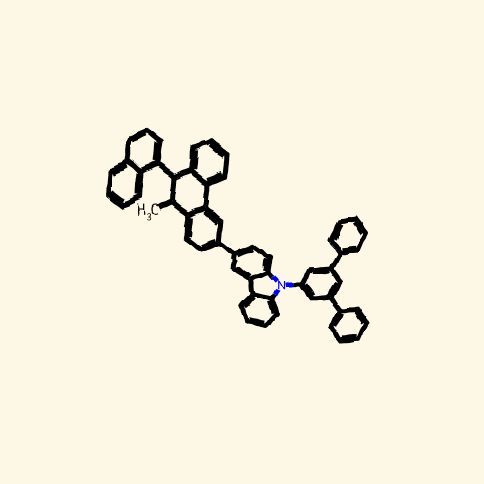 CC1c2ccc(-c3ccc4c(c3)c3ccccc3n4-c3cc(-c4ccccc4)cc(-c4ccccc4)c3)cc2-c2ccccc2C1c1cccc2ccccc12